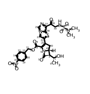 C[C@@H](O)[C@H]1C(=O)N2C(C(=O)OCc3ccc([N+](=O)[O-])cc3)=C(c3cn4cnc(C(=O)CNS(=O)(=O)N(C)C)c4s3)C[C@H]12